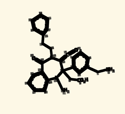 NCc1cccc(C2(CC(=O)O)C(=C=O)N(CCc3ccccc3)C(=O)c3ccccc3N2N)c1